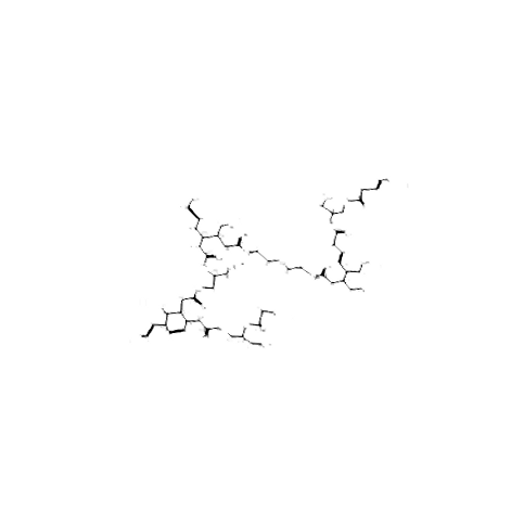 CC=CCC(=O)OCC(CO)OC(=O)CC=CC(CC)C(CC)CC(=O)NCCOCCNC(=O)CC(CC)C(CC=CC)CC(=O)OC(CO)COC(=O)CC1C(CC(=O)OCC(CO)OC(=O)CC)C=CC(C=CC)C1C